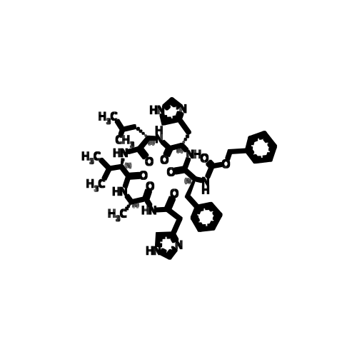 CC(C)C[C@H](NC(=O)[C@H](Cc1c[nH]cn1)NC(=O)[C@H](Cc1ccccc1)NC(=O)OCc1ccccc1)C(=O)N[C@H](C(=O)N[C@@H](C)C(=O)NC(=O)Cc1c[nH]cn1)C(C)C